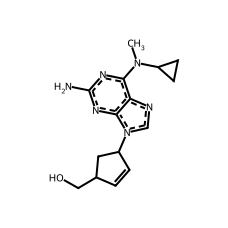 CN(c1nc(N)nc2c1ncn2C1C=CC(CO)C1)C1CC1